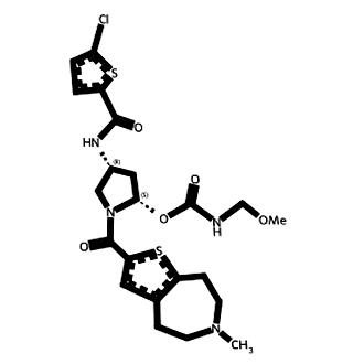 COCNC(=O)O[C@H]1C[C@@H](NC(=O)c2ccc(Cl)s2)CN1C(=O)c1cc2c(s1)CCN(C)CC2